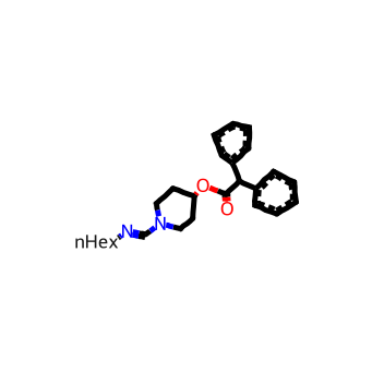 CCCCCCN=CN1CCC(OC(=O)C(c2ccccc2)c2ccccc2)CC1